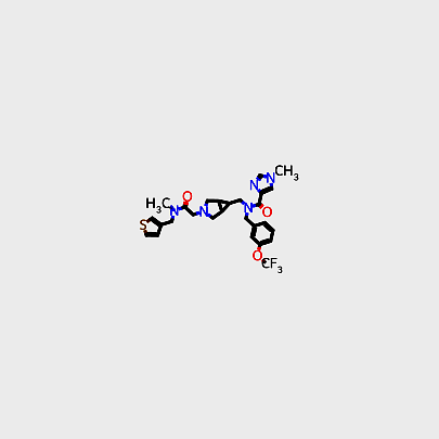 CN(Cc1ccsc1)C(=O)CN1CC2C(C1)C2CN(Cc1cccc(OC(F)(F)F)c1)C(=O)c1cn(C)cn1